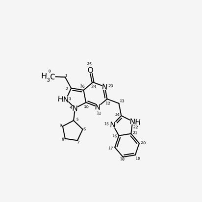 CCc1[nH]n(C2CCCC2)c2nc(Cc3nc4ccccc4[nH]3)nc(=O)c1-2